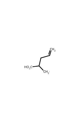 [CH2]C(CC=C)C(=O)O